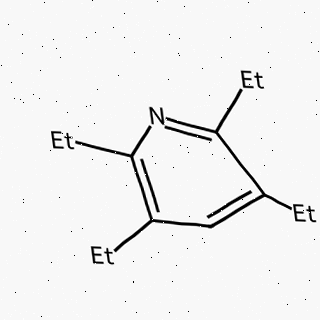 CCc1cc(CC)c(CC)nc1CC